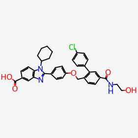 O=C(O)c1ccc2c(c1)nc(-c1ccc(OCc3ccc(C(=O)NCCO)cc3-c3ccc(Cl)cc3)cc1)n2C1CCCCC1